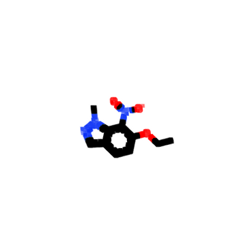 CCOc1ccc2cnn(C)c2c1[N+](=O)[O-]